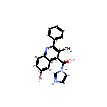 Cc1c(-c2ccccc2)nc2ccc(Br)cc2c1C(=O)n1ccnc1